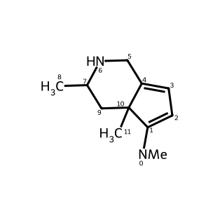 CNC1=CC=C2CNC(C)CC21C